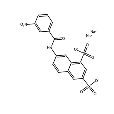 O=C(Nc1ccc2cc(S(=O)(=O)[O-])cc(S(=O)(=O)[O-])c2c1)c1cccc([N+](=O)[O-])c1.[Na+].[Na+]